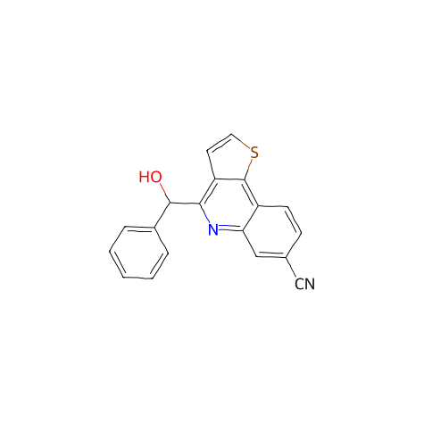 N#Cc1ccc2c(c1)nc(C(O)c1ccccc1)c1ccsc12